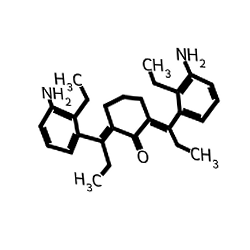 CCC(=C1CCCC(=C(CC)c2cccc(N)c2CC)C1=O)c1cccc(N)c1CC